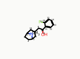 CN1C2CCC1CC(CC(O)c1ccccc1F)C2